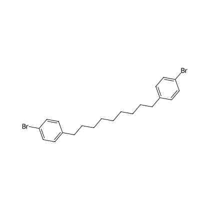 Brc1ccc(CCCCCCCCCc2ccc(Br)cc2)cc1